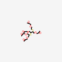 C(CSC(COCC1CO1)C(COCC1CO1)SC(COCC1CO1)COCC1CO1)OCC1CO1